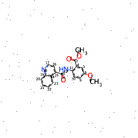 COC(=O)c1cc(OC)ccc1NC(=O)c1ccnc2ccccc12